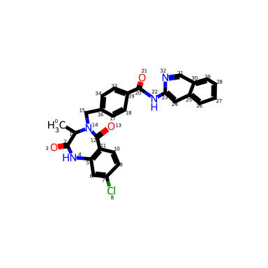 CC1C(=O)Nc2cc(Cl)ccc2C(=O)N1Cc1ccc(C(=O)Nc2cc3ccccc3cn2)cc1